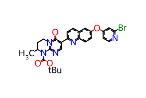 CC1CCn2c(ncc(-c3ccc4cc(Oc5ccnc(Br)c5)ccc4n3)c2=O)N1C(=O)OC(C)(C)C